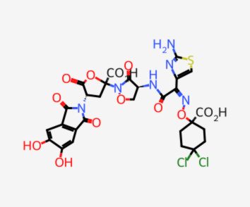 Nc1nc(/C(=N/OC2(C(=O)O)CCC(Cl)(Cl)CC2)C(=O)N[C@H]2CON(C3(C(=O)O)C[C@H](N4C(=O)c5cc(O)c(O)cc5C4=O)C(=O)O3)C2=O)cs1